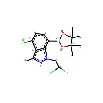 Cc1nn(CC(F)F)c2c(B3OC(C)(C)C(C)(C)O3)ccc(Cl)c12